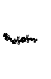 CN(C)CC=CC(=O)Nc1ccc(C(=O)Nc2ncc(SCc3ncc(C(C)(C)C)o3)s2)cc1